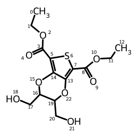 CCOC(=O)c1sc(C(=O)OCC)c2c1OC(CO)C(CO)O2